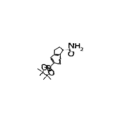 CC1(C)OB(c2ccc3c(c2)CC[C@@H]3C(N)=O)OC1(C)C